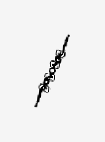 C#CC#CC#CC#COC(=O)c1ccc(OC(=O)C2CCC(C(=O)Oc3ccc(C(=O)OC#CC#CC#CC#C)cc3)CC2)cc1